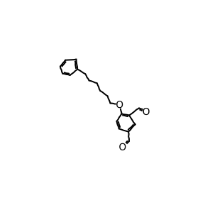 O=Cc1ccc(OCCCCCCc2ccccc2)c(C=O)c1